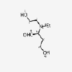 CCN(CCO)C(C=O)CCO